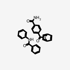 NC(=O)c1ccc(C(=O)n2c3ccc2cc3)cc1.O=C(Nc1ccccc1)c1ccccc1